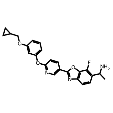 CC(N)c1ccc2nc(-c3ccc(Oc4cccc(OCC5CC5)c4)nc3)oc2c1F